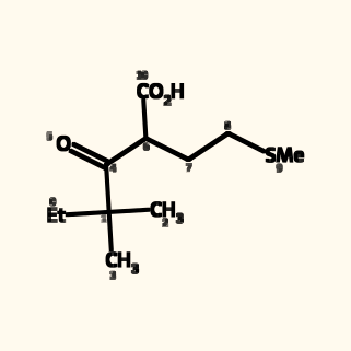 CCC(C)(C)C(=O)C(CCSC)C(=O)O